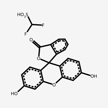 O=C1OC2(c3ccc(O)cc3Oc3cc(O)ccc32)c2ccccc21.O=S(=O)(O)C(F)F